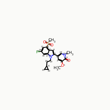 COc1cc(-c2cc3c(S(C)(=O)=O)cc(F)cc3n2CCC2CC2)cn(C)c1=O